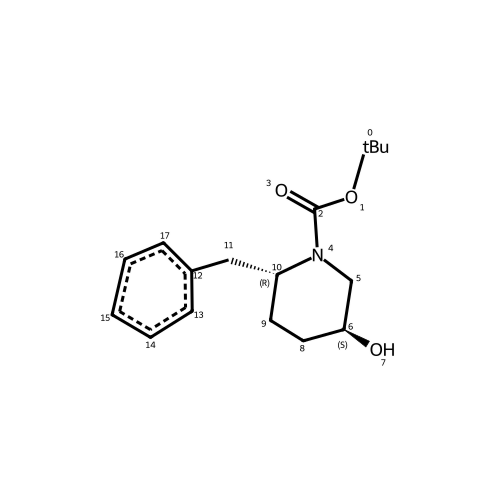 CC(C)(C)OC(=O)N1C[C@@H](O)CC[C@@H]1Cc1ccccc1